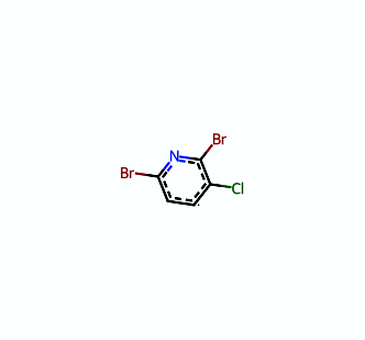 Clc1[c]cc(Br)nc1Br